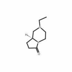 CCN1CCN2C(=O)CC[C@H]2C1